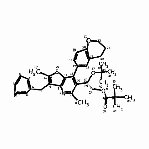 Cc1nc2c(Cc3ccccc3)c(C)sc2c(-c2ccc3c(c2)CCCO3)c1[C@@H](COC(=O)C(C)(C)C)OC(C)(C)C